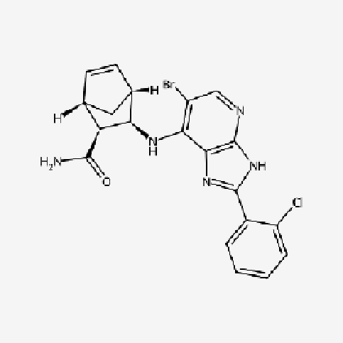 NC(=O)[C@@H]1[C@H](Nc2c(Br)cnc3[nH]c(-c4ccccc4Cl)nc23)[C@H]2C=C[C@@H]1C2